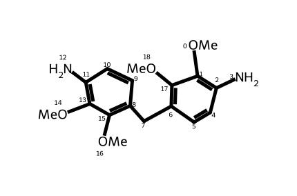 COc1c(N)ccc(Cc2ccc(N)c(OC)c2OC)c1OC